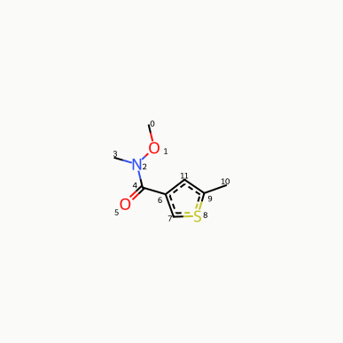 CON(C)C(=O)c1csc(C)c1